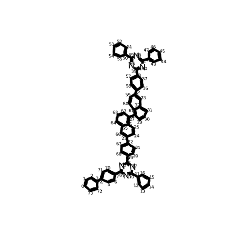 c1ccc(-c2ccc(-c3nc(-c4ccccc4)nc(-c4ccc(-c5ccc6c(-c7cccc8cc(-c9ccc(-c%10nc(-c%11ccccc%11)nc(-c%11ccccc%11)n%10)cc9)ccc78)cccc6c5)cc4)n3)cc2)cc1